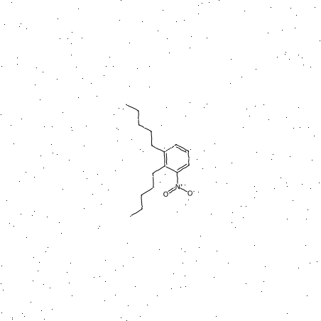 CCCCCc1cccc([N+](=O)[O-])c1CCCCC